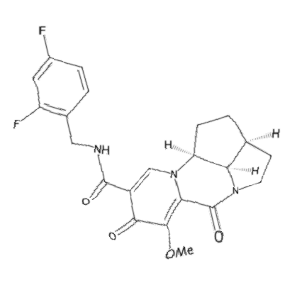 COc1c2n(cc(C(=O)NCc3ccc(F)cc3F)c1=O)[C@H]1CC[C@H]3CCN(C2=O)[C@H]31